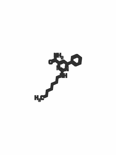 CCCCCCCNc1nc(C(N)=O)cc(-c2ccccc2)n1